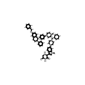 Cn1nc(C2NCC(=O)NC2=O)c2ccc(N3CCN(C[C@@H]4CCCC[C@H]4CN4CCN(c5ccc([C@@H]6c7ccc(OCc8ccccc8)cc7CC[C@@H]6c6ccccc6)cc5)CC4)CC3)cc21